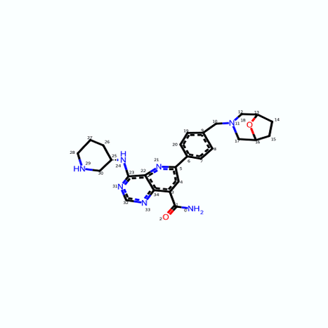 NC(=O)c1cc(-c2ccc(CN3CC4CCC(C3)O4)cc2)nc2c(N[C@H]3CCCNC3)ncnc12